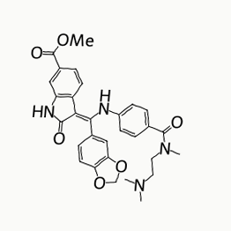 COC(=O)c1ccc2c(c1)NC(=O)C2=C(Nc1ccc(C(=O)N(C)CCN(C)C)cc1)c1ccc2c(c1)OCO2